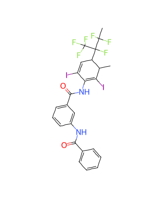 CC1C(I)=C(NC(=O)c2cccc(NC(=O)c3ccccc3)c2)C(I)=CC1C(F)(C(C)(F)F)C(F)(F)F